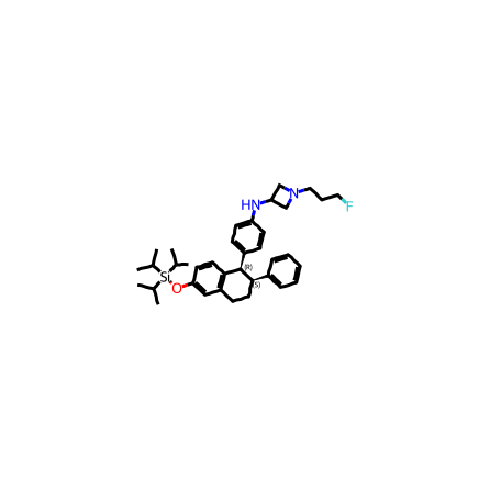 CC(C)[Si](Oc1ccc2c(c1)CC[C@H](c1ccccc1)[C@@H]2c1ccc(NC2CN(CCCF)C2)cc1)(C(C)C)C(C)C